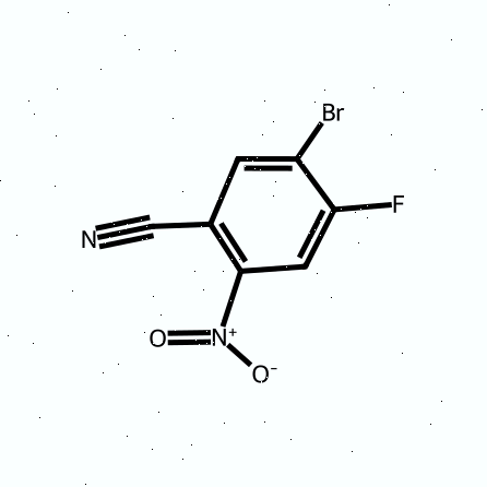 N#Cc1cc(Br)c(F)cc1[N+](=O)[O-]